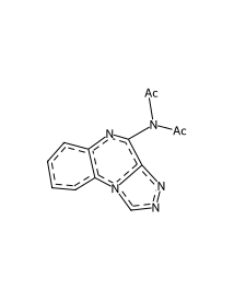 CC(=O)N(C(C)=O)c1nc2ccccc2n2cnnc12